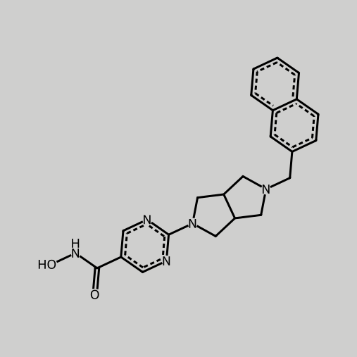 O=C(NO)c1cnc(N2CC3CN(Cc4ccc5ccccc5c4)CC3C2)nc1